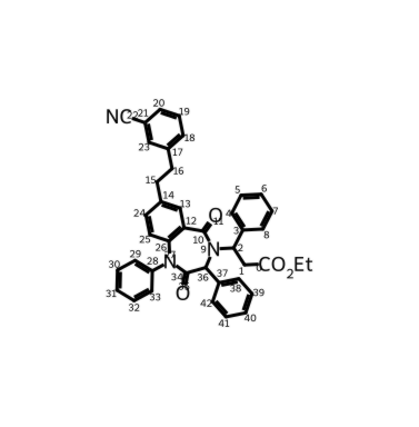 CCOC(=O)CC(c1ccccc1)N1C(=O)c2cc(CCc3cccc(C#N)c3)ccc2N(c2ccccc2)C(=O)C1c1ccccc1